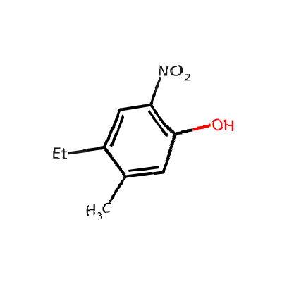 CCc1cc([N+](=O)[O-])c(O)cc1C